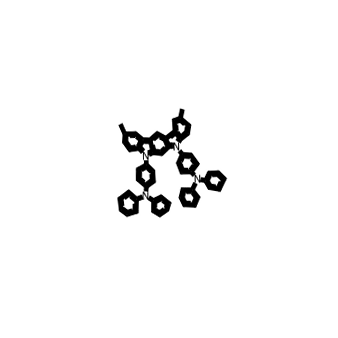 Cc1ccc2c(c1)c1cc3c4cc(C)ccc4n(-c4ccc(N(c5ccccc5)c5ccccc5)cc4)c3cc1n2-c1ccc(N(c2ccccc2)c2ccccc2)cc1